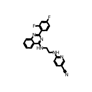 N#Cc1ccc(NCCNc2nc(-c3ccc(F)cc3F)nc3ccccc23)nc1